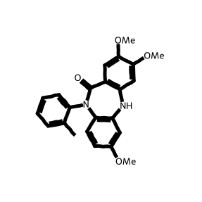 COc1ccc2c(c1)Nc1cc(OC)c(OC)cc1C(=O)N2c1ccccc1C